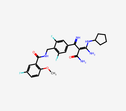 COc1ccc(F)cc1C(=O)NCc1c(F)cc(C(=N)/C(C(N)=O)=C(/N)NC2CCCC2)cc1F